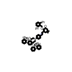 CC(C)c1cccc(C(C)C)c1COC1=C(/C=C/c2ccc(N(CCO[Si](c3ccccc3)(c3ccccc3)C(C)(C)C)CCO[Si](c3ccccc3)(c3ccccc3)C(C)(C)C)cc2)CC(C)(C)CC1=O